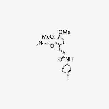 COc1ccc(/C=C/C(=O)Nc2ccc(F)cc2)c(OCCN(C)C)c1OC